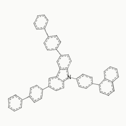 c1ccc(-c2ccc(-c3ccc4c(c3)c3cc(-c5ccc(-c6ccccc6)cc5)ccc3n4-c3ccc(-c4cccc5ccccc45)cc3)cc2)cc1